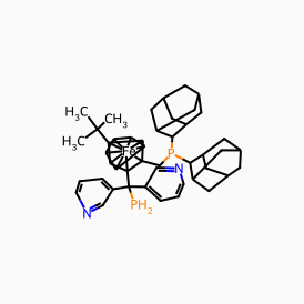 CC(C)(C)[C]12[CH]3[C]4(CP(C5C6CC7CC(C6)CC5C7)C5C6CC7CC(C6)CC5C7)[C]5(C(P)(c6cccnc6)c6cccnc6)[CH]1[Fe]34251678[CH]2[CH]1[CH]6[CH]7[CH]28